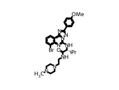 COc1ccc(-c2nc3c4cccc(Br)c4nc(N[C@@H](C(=O)NCCN4CCN(C)CC4)C(C)C)n3n2)cc1